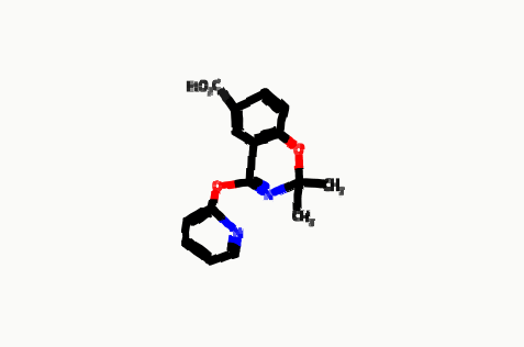 CCOC(=O)c1ccc2c(c1)C(Oc1ccccn1)=NC(C)(C)O2